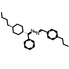 CCCC[C@H]1CC[C@H](C(=NN=Cc2ccc(CCC)cc2)c2ccccc2)CC1